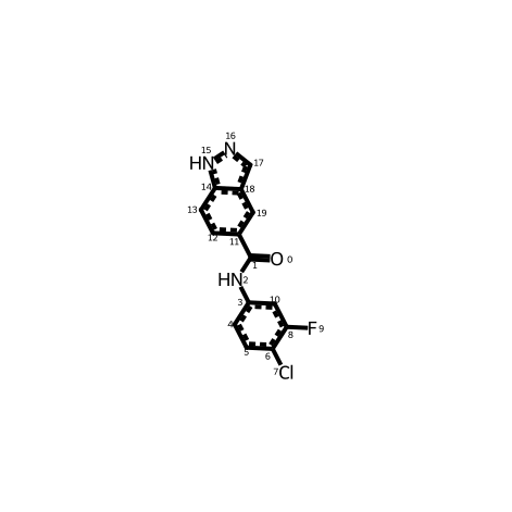 O=C(Nc1ccc(Cl)c(F)c1)c1ccc2[nH]ncc2c1